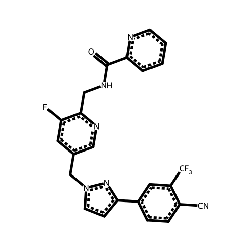 N#Cc1ccc(-c2ccn(Cc3cnc(CNC(=O)c4ccccn4)c(F)c3)n2)cc1C(F)(F)F